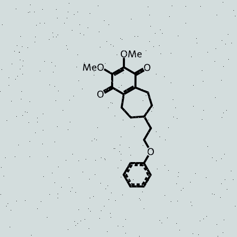 COC1=C(OC)C(=O)C2=C(CCC(CCOc3ccccc3)CC2)C1=O